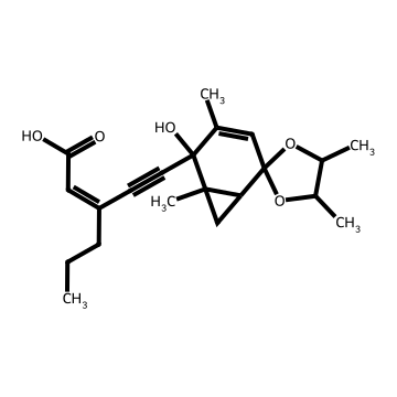 CCC/C(C#CC1(O)C(C)=CC2(OC(C)C(C)O2)C2CC21C)=C/C(=O)O